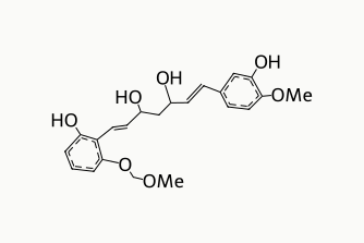 COCOc1cccc(O)c1C=CC(O)CC(O)C=Cc1ccc(OC)c(O)c1